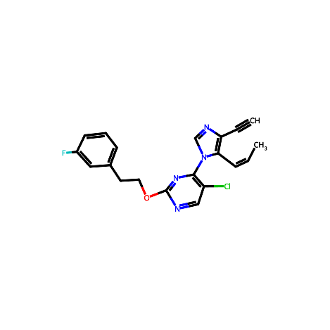 C#Cc1ncn(-c2nc(OCCc3cccc(F)c3)ncc2Cl)c1/C=C\C